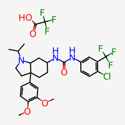 COc1ccc(C23CCC(NC(=O)Nc4ccc(Cl)c(C(F)(F)F)c4)CC2N(C(C)C)CC3)cc1OC.O=C(O)C(F)(F)F